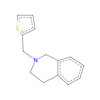 c1csc(CN2CCc3ccccc3C2)c1